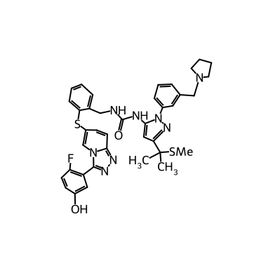 CSC(C)(C)c1cc(NC(=O)NCc2ccccc2Sc2ccc3nnc(-c4cc(O)ccc4F)n3c2)n(-c2cccc(CN3CCCC3)c2)n1